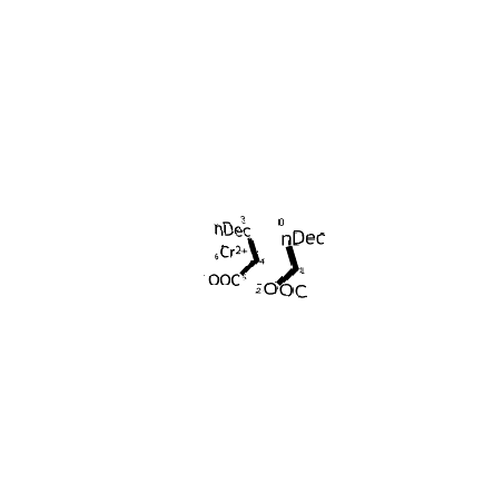 CCCCCCCCCCCC(=O)[O-].CCCCCCCCCCCC(=O)[O-].[Cr+2]